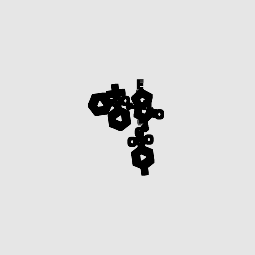 Cc1ccc(S(=O)(=O)OC[C@H]2C[C@@]3(CO[Si](c4ccccc4)(c4ccccc4)C(C)(C)C)C[C@@H](F)CN3C2=O)cc1